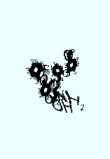 COc1cccc(Oc2ccccc2CN(CC[C@H](N)C(=O)O)Cc2ccccc2OCc2ccccc2F)c1